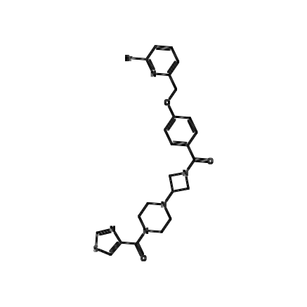 O=C(c1ccc(OCc2cccc(Br)n2)cc1)N1CC(N2CCN(C(=O)c3cscn3)CC2)C1